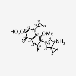 COc1c(N2CC(N)C3(CC3)C2)c(F)cc2c(=O)c(C(=O)O)cn(C3CC3)c12